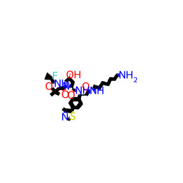 Cc1ncsc1-c1ccc([C@H](CC(=O)NCCCCCCCN)NC(=O)[C@@H]2C[C@@H](O)CN2C(=O)C(NC(=O)C2(F)CC2)C(C)(C)C)cc1